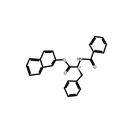 O=C(N[C@@H](Cc1ccccc1)C(=O)Oc1ccc2ccccc2c1)c1ccccc1